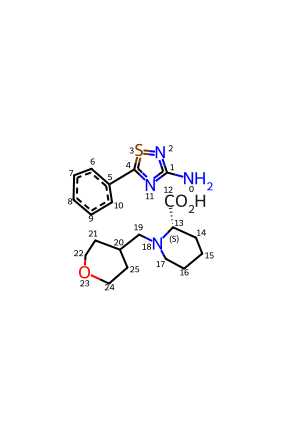 Nc1nsc(-c2ccccc2)n1.O=C(O)[C@@H]1CCCCN1CC1CCOCC1